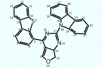 C1=C2C(c3cccc4c3sc3ccccc34)=NC(n3c4ccccc4c4ccccc43)=NC2CO1